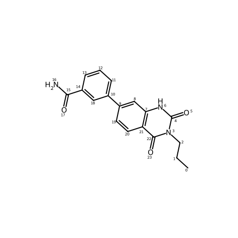 CCCn1c(=O)[nH]c2cc(-c3cccc(C(N)=O)c3)ccc2c1=O